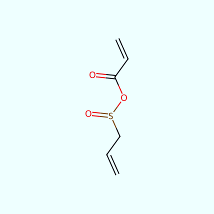 C=CCS(=O)OC(=O)C=C